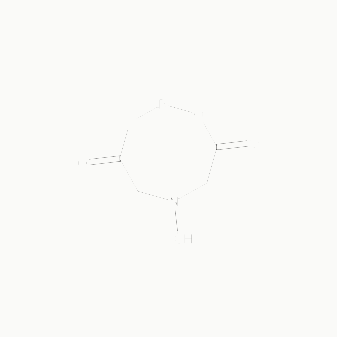 CN1CC(=O)OBOC(=O)C1